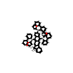 CC1(C)c2ccccc2-c2cc3c(N(c4cccs4)c4ccccc4-c4ccccc4)c4cc(N(c5cccs5)c5ccccc5-c5ccccc5)ccc4c(N(c4cccs4)c4ccccc4-c4ccccc4)c3cc21